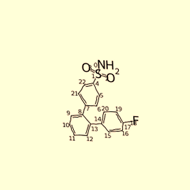 NS(=O)(=O)c1ccc(-c2ccccc2-c2ccc(F)cc2)cc1